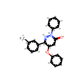 O=c1cc(Oc2ccccc2)c(-c2cccc(C(F)(F)F)c2)nn1-c1ccccc1